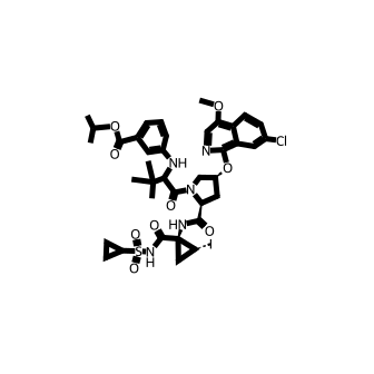 COc1cnc(O[C@@H]2C[C@@H](C(=O)N[C@]3(C(=O)NS(=O)(=O)C4CC4)C[C@H]3I)N(C(=O)C(Nc3cccc(C(=O)OC(C)C)c3)C(C)(C)C)C2)c2cc(Cl)ccc12